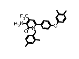 Cc1ccc(Cn2c(-c3ccc(Oc4ccc(C)c(C)c4)cc3)cc(C(F)(F)F)c(N)c2=O)c(C)c1